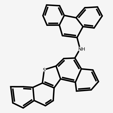 c1ccc2c(c1)cc(Nc1cc3sc4c5ccccc5ccc4c3c3ccccc13)c1ccccc12